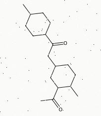 CC(=O)C1CC(CC(=O)C2CCC(C)CC2)CCC1C